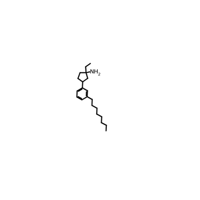 CCCCCCCCc1cccc(C2CCC(N)(CC)C2)c1